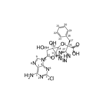 Nc1nc(Cl)nc2c1ncn2[C@@H]1O[C@@H]2C(O[C@](Cc3ccccc3)(C(=O)O)c3nnn[nH]3)[C@]2(O)[C@H]1O